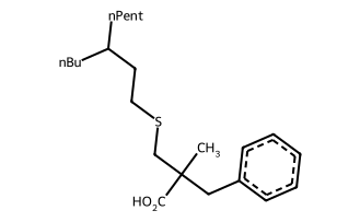 CCCCCC(CCCC)CCSCC(C)(Cc1ccccc1)C(=O)O